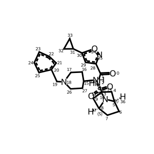 O=C(N[C@H]1C[C@H]2CC[C@@H](C1)N2S(=O)(=O)NC1CCN(Cc2ccccc2)CC1)c1cc(C2CC2)on1